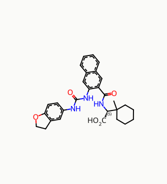 CC1([C@H](NC(=O)c2cc3ccccc3cc2NC(=O)Nc2ccc3c(c2)CCO3)C(=O)O)CCCCC1